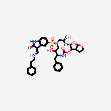 CC(C)CN(CC(O)C(Cc1ccccc1)NC(=O)OC1COC2OCCC12)S(=O)(=O)c1ccc2c(c1)C(=CNCCc1ccccc1)C(=O)N2